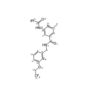 Cc1cc(C(=O)NCc2cccc(OCC(F)(F)F)n2)cc(NC(=O)C(C)C)n1